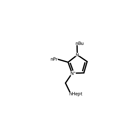 CCCCCCCC[n+]1ccn(CCCC)c1CCC